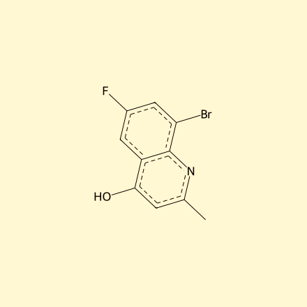 Cc1cc(O)c2cc(F)cc(Br)c2n1